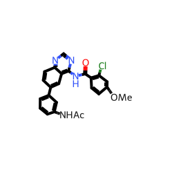 COc1ccc(C(=O)Nc2ncnc3ccc(-c4cccc(NC(C)=O)c4)cc23)c(Cl)c1